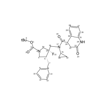 CC(C)(C)OC(=O)N1C[C@@H](Cc2ccccc2)[C@](F)(CN(C(=O)C2CC(=O)Nc3ccccc32)C2CC2)C1